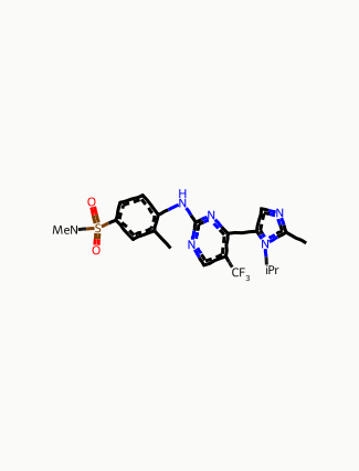 CNS(=O)(=O)c1ccc(Nc2ncc(C(F)(F)F)c(-c3cnc(C)n3C(C)C)n2)c(C)c1